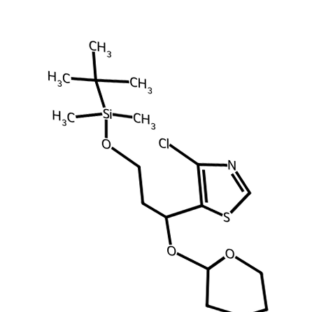 CC(C)(C)[Si](C)(C)OCCC(OC1CCCCO1)c1scnc1Cl